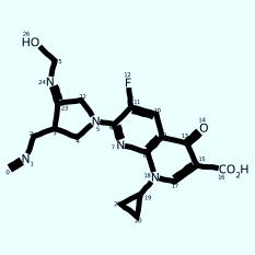 C=NCC1CN(c2nc3c(cc2F)c(=O)c(C(=O)O)cn3C2CC2)C/C1=N\CO